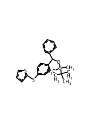 CC(C)(C)[Si](C)(C)OC(c1ccccc1)c1ccc(Sc2cccs2)cc1